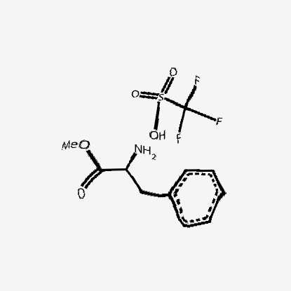 COC(=O)C(N)Cc1ccccc1.O=S(=O)(O)C(F)(F)F